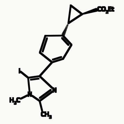 CCOC(=O)[C@@H]1C[C@H]1c1ccc(-c2nc(C)n(C)c2I)cc1